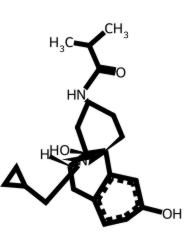 CC(C)C(=O)N[C@H]1CC[C@]23CCCN(CC4CC4)[C@H](Cc4ccc(O)cc42)[C@]3(O)C1